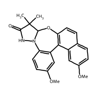 COc1ccc2c(c1)-c1c(ccc3ccc(OC)cc13)OC1N2NC(=O)C1(C)C